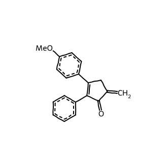 C=C1CC(c2ccc(OC)cc2)=C(c2ccccc2)C1=O